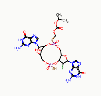 CC(C)OC(=O)OCSP1(=O)OCC2OC(n3cnc4c(=O)[nH]c(N)nc43)C(F)C2OP(=O)(S)OCC2OC(n3cnc4c(=O)[nH]c(N)nc43)C(O1)C2O